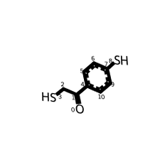 O=C(CS)c1ccc(S)cc1